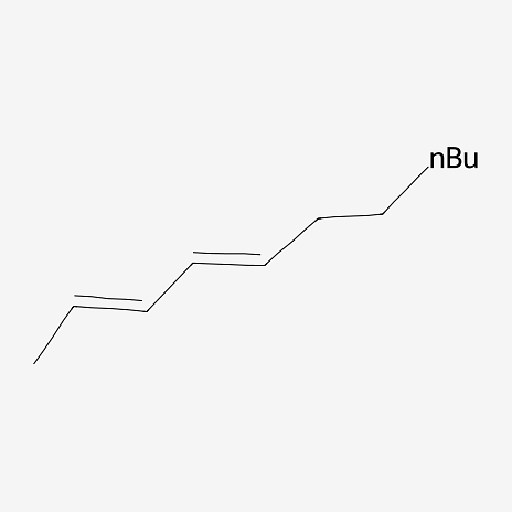 [CH2]CCCCCC=CC=CC